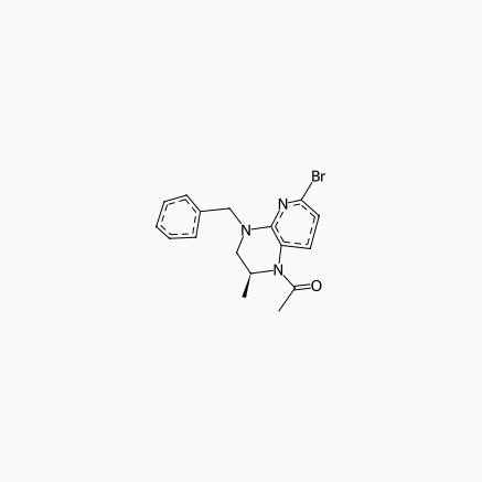 CC(=O)N1c2ccc(Br)nc2N(Cc2ccccc2)C[C@@H]1C